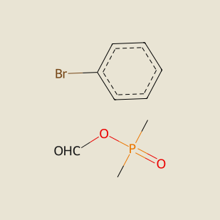 Brc1ccccc1.CP(C)(=O)OC=O